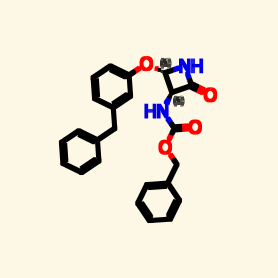 O=C(N[C@@H]1C(=O)N[C@H]1Oc1cccc(Cc2ccccc2)c1)OCc1ccccc1